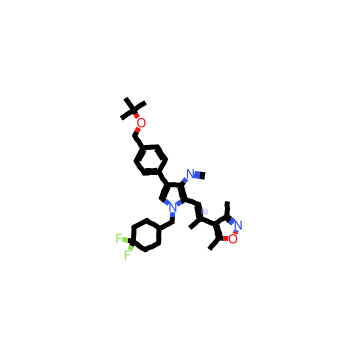 C=Nc1c(-c2ccc(COC(C)(C)C)cc2)cn(CC2CCC(F)(F)CC2)c1/C=C(\C)c1c(C)noc1C